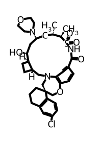 C[C@@H]1[C@@H](C)C[C@@H](N2CCOCC2)C[C@H](O)[C@@H]2CC[C@H]2CN2C[C@@]3(CCCc4cc(Cl)ccc43)COc3ccc(cc32)C(=O)NS1(=O)=O